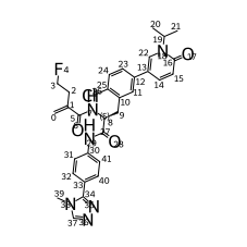 C=C(CCF)C(=O)N[C@@H](Cc1cc(-c2ccc(=O)n(C(C)C)c2)ccc1Cl)C(=O)Nc1ccc(-c2nncn2C)cc1